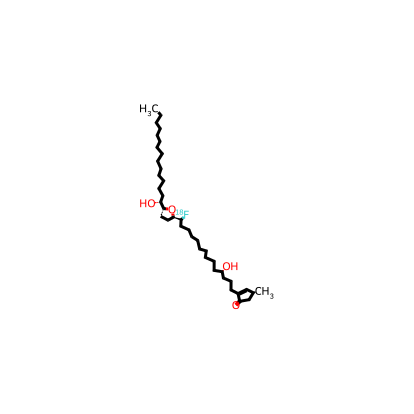 CCCCCCCCCCCCCC[C@@H](O)[C@H]1CC[C@H](C([18F])CCCCCCCCC[C@H](O)CCCC2=C[C@H](C)CC2=O)O1